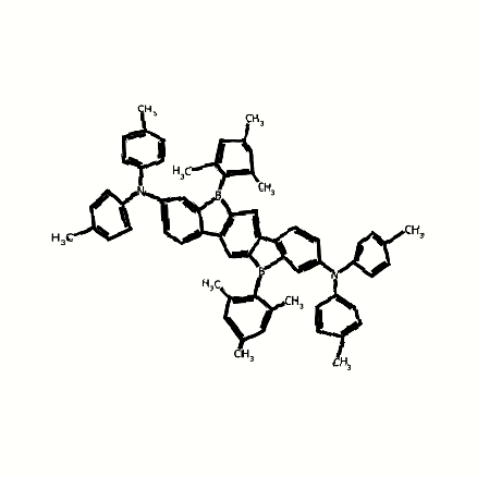 Cc1ccc(N(c2ccc(C)cc2)c2ccc3c(c2)B(c2c(C)cc(C)cc2C)c2cc4c(cc2-3)B(c2c(C)cc(C)cc2C)c2cc(N(c3ccc(C)cc3)c3ccc(C)cc3)ccc2-4)cc1